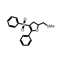 CSCC1CC(S(=O)(=O)c2ccccc2)=C(c2ccccc2)O1